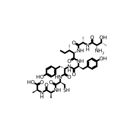 CC[C@H](C)[C@H](NC(=O)[C@H](C)NC(=O)[C@@H](N)[C@@H](C)O)C(=O)N[C@@H](Cc1ccc(O)cc1)C(=O)N[C@@H](Cc1ccc(O)cc1)C(=O)N[C@@H](CS)C(=O)N[C@@H](C)C(=O)N[C@@H](C)C(=O)O